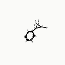 [CH2]C1NC1c1ccccc1